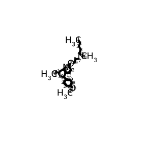 CCCCCN(C)CCCOc1ccc2c(n1)CN(C)CC2c1ccc(OC)cc1